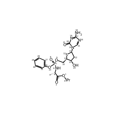 CC(C)OC(=O)[C@H](C)NP(=O)(OC[C@H]1S[C@@H](n2cnc(N)nc2=O)C[C@H]1O)Oc1ccccc1